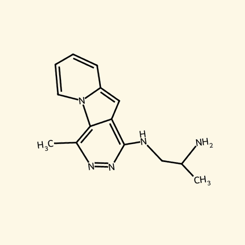 Cc1nnc(NCC(C)N)c2cc3ccccn3c12